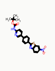 CC(C)(C)OC(=O)Nc1ccc(-c2ccc(-c3nc4ccc([N+](=O)[O-])cc4s3)cc2)cn1